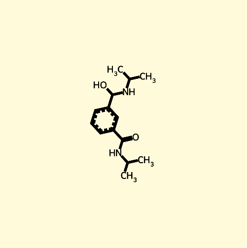 CC(C)NC(=O)c1cccc(C(O)NC(C)C)c1